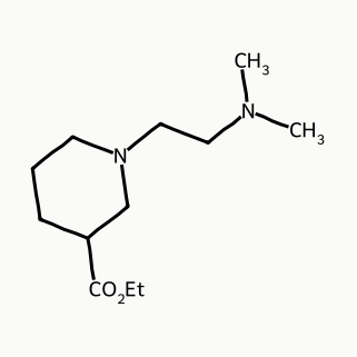 CCOC(=O)C1CCCN(CCN(C)C)C1